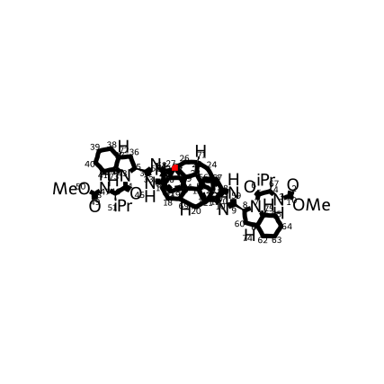 COC(=O)N[C@H](C(=O)N1[C@H](c2nc3cc(C4C[C@H]5CC[C@@H]4CC[C@@H]4CC[C@H](CC5)C(c5ccc6[nH]c([C@@H]7C[C@@H]8CCCC[C@@H]8N7C(=O)[C@@H](NC(=O)OC)C(C)C)nc6c5)C4)ccc3[nH]2)C[C@@H]2CCCC[C@@H]21)C(C)C